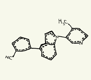 Cc1ccncc1-n1ccc2c(-c3cccc(C#N)c3)cccc21